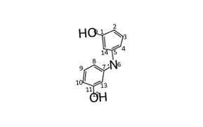 Oc1cccc([N]c2cccc(O)c2)c1